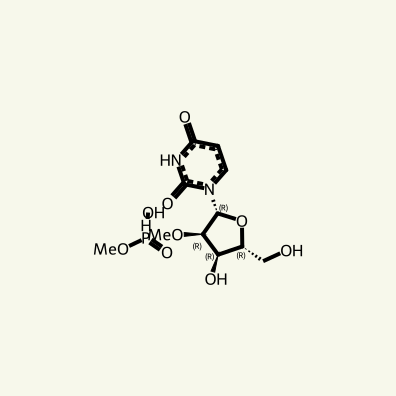 CO[C@@H]1[C@H](O)[C@@H](CO)O[C@H]1n1ccc(=O)[nH]c1=O.CO[PH](=O)O